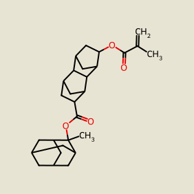 C=C(C)C(=O)OC1CC2CC1C1C3CC(CC3C(=O)OC3(C)C4CC5CC(C4)CC3C5)C21